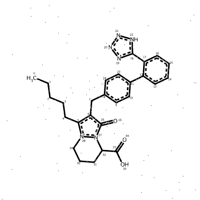 CCCCCc1c(Cc2ccc(-c3ccccc3-c3nnn[nH]3)cc2)c(=O)n2n1CCCC2C(=O)O